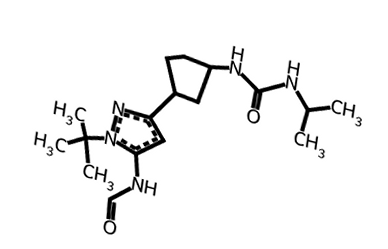 CC(C)NC(=O)NC1CCC(c2cc(NC=O)n(C(C)(C)C)n2)C1